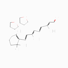 C1CCOC1.C1CCOC1.CC1=C(/C=C/C(C)=C/C=C/C(C)=C/C=O)C(C)(C)CCC1